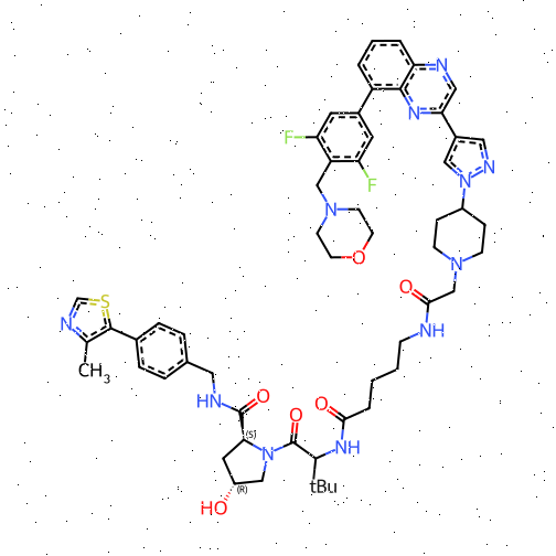 Cc1ncsc1-c1ccc(CNC(=O)[C@@H]2C[C@@H](O)CN2C(=O)C(NC(=O)CCCCNC(=O)CN2CCC(n3cc(-c4cnc5cccc(-c6cc(F)c(CN7CCOCC7)c(F)c6)c5n4)cn3)CC2)C(C)(C)C)cc1